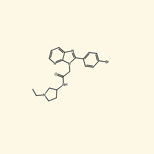 CCN1CCC(NC(=O)Cn2c(-c3ccc(Br)cc3)nc3cccnc32)C1